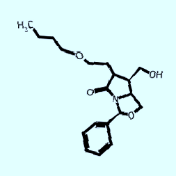 CCCCOCCC1C(=O)N2C(CO[C@H]2c2ccccc2)[C@@H]1CO